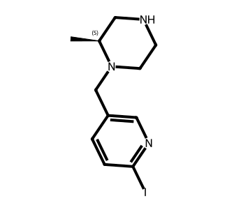 C[C@H]1CNCCN1Cc1ccc(I)nc1